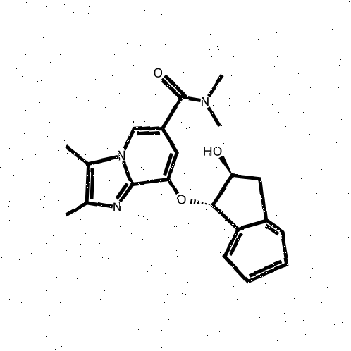 Cc1nc2c(O[C@H]3c4ccccc4C[C@@H]3O)cc(C(=O)N(C)C)cn2c1C